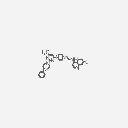 Cc1cc(N2CCN(CCNc3ccnc4cc(Cl)ccc34)CC2)nc(N2CCN(c3ccccc3)CC2)n1